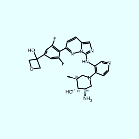 C[C@H]1CN(c2ccncc2Nc2ncc3ccc(-c4c(F)cc(C5(O)COC5)cc4F)nn23)C[C@@H](N)[C@@H]1O